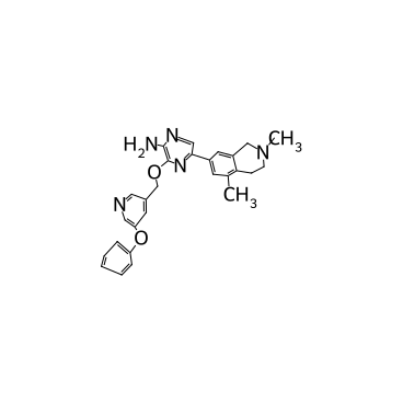 Cc1cc(-c2cnc(N)c(OCc3cncc(Oc4ccccc4)c3)n2)cc2c1CCN(C)C2